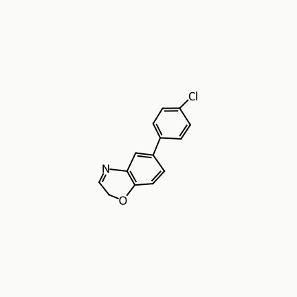 Clc1ccc(-c2ccc3c(c2)N=CCO3)cc1